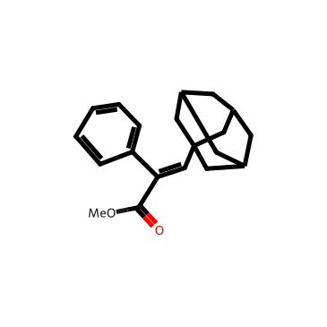 COC(=O)C(=CC12CC3CC(CC(C3)C1)C2)c1ccccc1